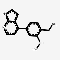 CC(C)(C)Nc1cc(-c2ccnc3[nH]ccc23)ccc1CN